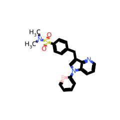 CN(C)S(=O)(=O)c1ccc(Cc2cn(-c3bcccc3)c3cccnc23)cc1